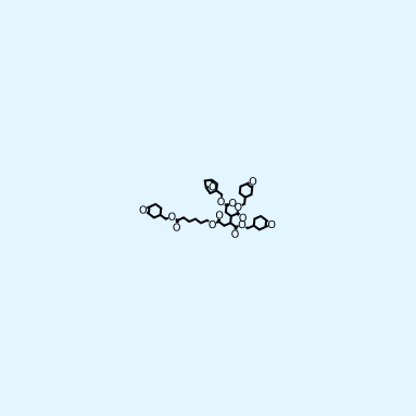 O=C(CCCCCOC(=O)CC(C(=O)OCC1CCC2OC2C1)C(CC(=O)OCC1CC2CC(C1)O2)C(=O)OCC1CCC2OC2C1)OCC1CCC2OC2C1